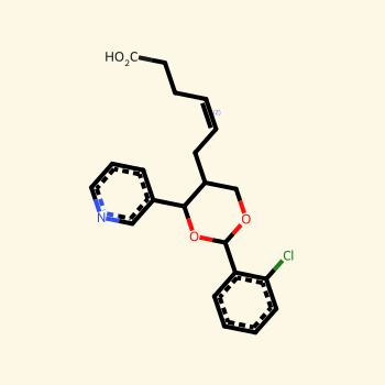 O=C(O)CC/C=C\CC1COC(c2ccccc2Cl)OC1c1cccnc1